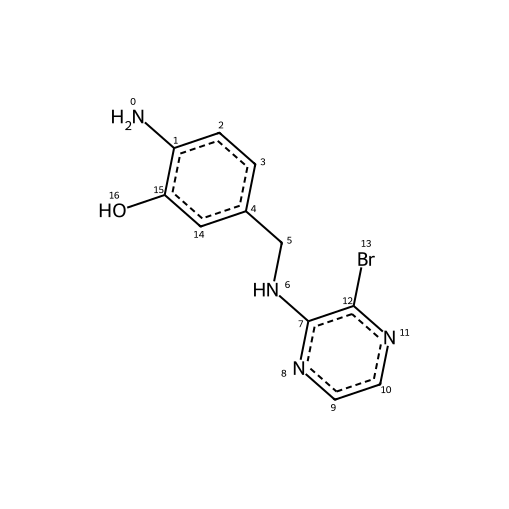 Nc1ccc(CNc2nccnc2Br)cc1O